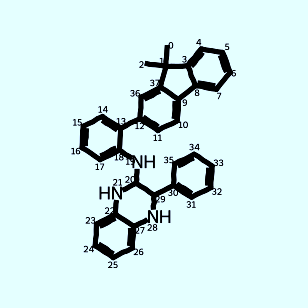 CC1(C)c2ccccc2-c2ccc(-c3ccccc3NC3Nc4ccccc4NC3c3ccccc3)cc21